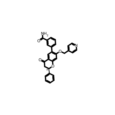 NC(=O)c1cccc(-c2cc3c(cc2OCc2ccncc2)O[C@@H](c2ccccc2)CC3=O)c1